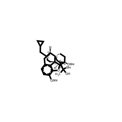 COc1ccc2c3c1O[C@H]1[C@@]4(OC)CC[C@@]5(C[C@@H]4C(C)(O)C(C)(C)C)[C@@H](C2)N(CC2CC2)CC[C@]315